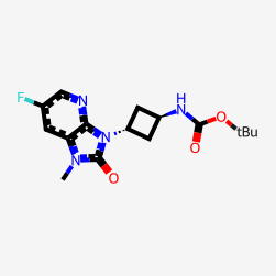 Cn1c(=O)n([C@H]2C[C@H](NC(=O)OC(C)(C)C)C2)c2ncc(F)cc21